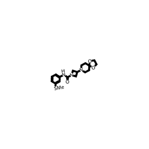 CSc1cccc(NC(=O)N2CC(N3CCC4(CC3)OCCO4)C2)c1